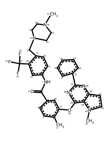 Cc1ccc(C(=O)Nc2ccc(CN3CCN(C)CC3)c(C(F)(F)F)c2)cc1Oc1nc(-c2ccccc2)nc2ccn(C)c12